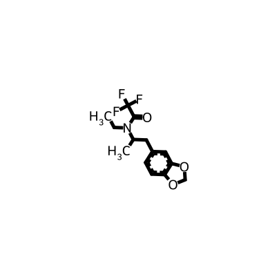 CCN(C(=O)C(F)(F)F)C(C)Cc1ccc2c(c1)OCO2